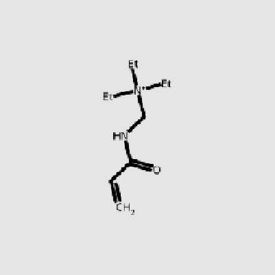 C=CC(=O)NC[N+](CC)(CC)CC